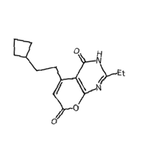 CCc1nc2oc(=O)cc(CCC3CCC3)c2c(=O)[nH]1